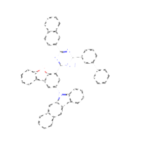 c1ccc(-c2cccc(C3N=C(c4ccc5ccccc5c4)N=C(c4cc(-n5c6ccccc6c6cc7ccccc7cc65)cc5c4oc4ccccc45)N3)c2)cc1